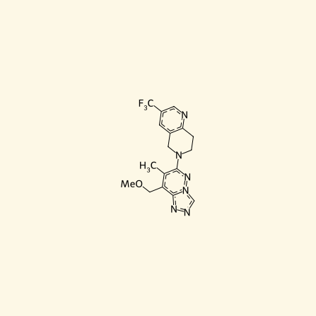 COCc1c(C)c(N2CCc3ncc(C(F)(F)F)cc3C2)nn2cnnc12